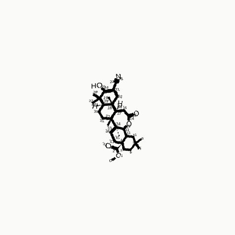 COC(=O)[C@]12CCC(C)(C)CC1C1OC(=O)C[C@@H]3[C@@]4(C)CC(C#N)=C(O)C(C)(C)[C@@H]4CC[C@@]3(C)[C@]1(C)CC2